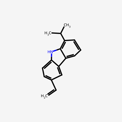 C=Cc1ccc2[nH]c3c(C(C)C)cccc3c2c1